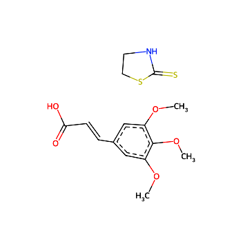 COc1cc(C=CC(=O)O)cc(OC)c1OC.S=C1NCCS1